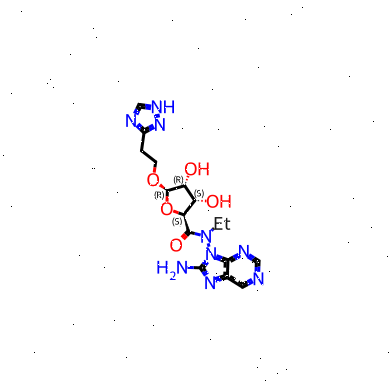 CCN(C(=O)[C@H]1O[C@@H](OCCc2nc[nH]n2)[C@H](O)[C@@H]1O)n1c(N)nc2cncnc21